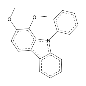 COc1ccc2c3ccccc3n(-c3ccccc3)c2c1OC